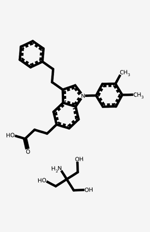 Cc1ccc(-n2cc(CCc3ccccc3)c3cc(CCC(=O)O)ccc32)cc1C.NC(CO)(CO)CO